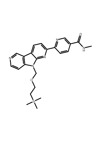 CNC(=O)c1ccc(-c2ccc3c4cnccc4n(COCC[Si](C)(C)C)c3n2)nc1